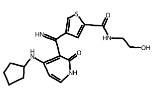 N=C(c1csc(C(=O)NCCO)c1)c1c(NC2CCCC2)cc[nH]c1=O